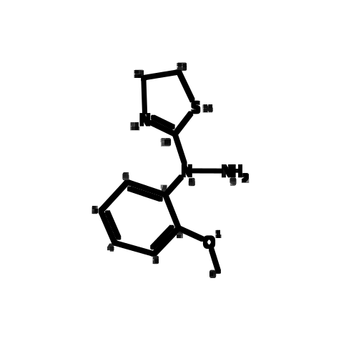 COc1ccccc1N(N)C1=NCCS1